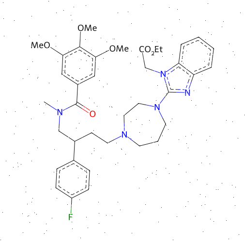 CCOC(=O)Cn1c(N2CCCN(CCC(CN(C)C(=O)c3cc(OC)c(OC)c(OC)c3)c3ccc(F)cc3)CC2)nc2ccccc21